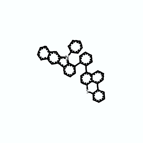 c1ccc(-n2c3cc4ccccc4cc3c3cccc(-c4ccccc4-c4ccc5c6c(cccc46)-c4ccccc4S5)c32)cc1